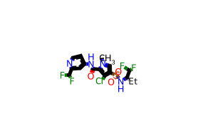 CC[C@H](NS(=O)(=O)c1cn(C)c(C(=O)Nc2ccnc(C(F)F)c2)c1Cl)C(F)F